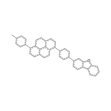 Cc1ccc(-c2ccc3ccc4c(-c5ccc(-c6ccc7c(c6)oc6ccccc67)cc5)ccc5ccc2c3c54)cc1